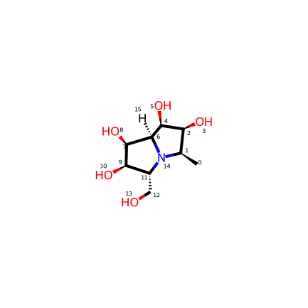 C[C@@H]1[C@H](O)[C@H](O)[C@@H]2[C@H](O)[C@H](O)[C@@H](CO)N21